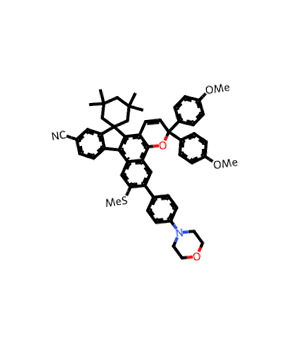 COc1ccc(C2(c3ccc(OC)cc3)C=Cc3c4c(c5cc(SC)c(-c6ccc(N7CCOCC7)cc6)cc5c3O2)-c2ccc(C#N)cc2C42CC(C)(C)CC(C)(C)C2)cc1